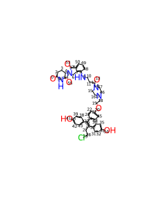 O=C1CCC(N2Cc3c(NCCC(=O)N4CCN(CCOc5ccc(C(=C(CCCl)c6ccc(O)cc6)c6ccc(O)cc6)cc5)CC4)cccc3C2=O)C(=O)N1